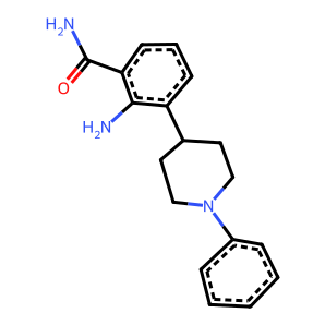 NC(=O)c1cccc(C2CCN(c3ccccc3)CC2)c1N